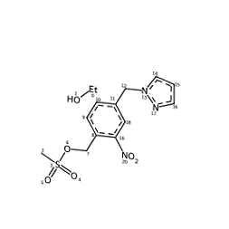 CCO.CS(=O)(=O)OCc1ccc(Cn2cccn2)cc1[N+](=O)[O-]